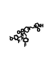 COc1ccc(C(F)N2C(=O)OC3(CCN(CCN4CCNC4=O)CC3)C2Cc2ccc(F)cc2)c(F)c1